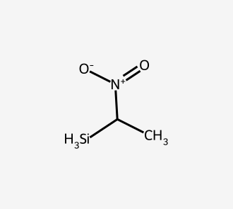 CC([SiH3])[N+](=O)[O-]